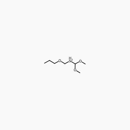 CCCO[CH][SiH2]C(OC)OC